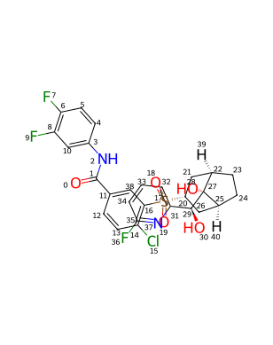 O=C(Nc1ccc(F)c(F)c1)c1ccc(Cl)c(S(=O)(=O)[C@@H]2C[C@H]3CC[C@@H](C2)[C@@]3(O)[C@@H](O)c2cccc(F)n2)c1